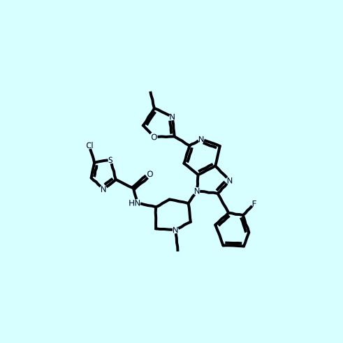 Cc1coc(-c2cc3c(cn2)nc(-c2ccccc2F)n3C2CC(NC(=O)c3ncc(Cl)s3)CN(C)C2)n1